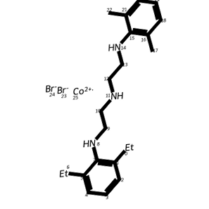 CCc1cccc(CC)c1NCCNCCNc1c(C)cccc1C.[Br-].[Br-].[Co+2]